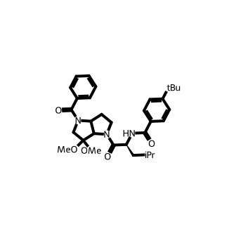 COC1(OC)CN(C(=O)c2ccccc2)C2CCN(C(=O)[C@H](CC(C)C)NC(=O)c3ccc(C(C)(C)C)cc3)C21